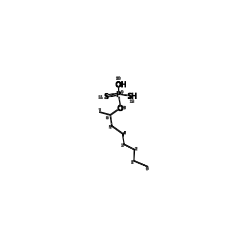 CCCCCCC(C)OP(O)(=S)S